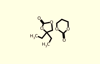 CCC1(CC)COC(=O)O1.O=C1OCCCO1